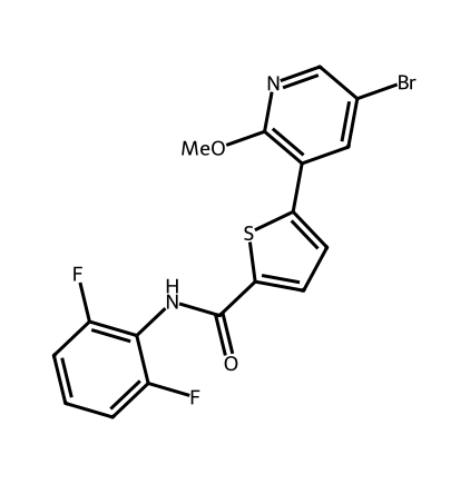 COc1ncc(Br)cc1-c1ccc(C(=O)Nc2c(F)cccc2F)s1